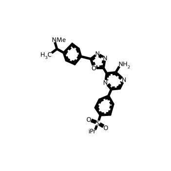 CNC(C)c1ccc(-c2nnc(-c3nc(-c4ccc(S(=O)(=O)C(C)C)cc4)cnc3N)o2)cc1